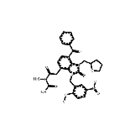 COc1ccc([N+](=O)[O-])cc1Cn1c(=O)n(CC2CCCO2)c2c(C(=O)c3ccccc3)ccc(CC(=O)N(C)C(N)=O)c21